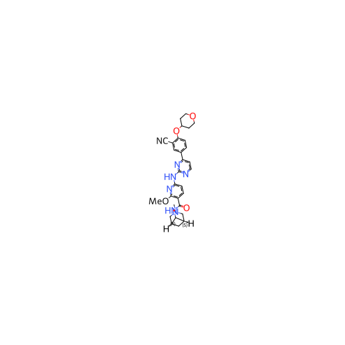 COc1nc(Nc2nccc(-c3ccc(OC4CCOCC4)c(C#N)c3)n2)ccc1C(=O)NC1[C@@H]2C[C@H]1CN(C)C2